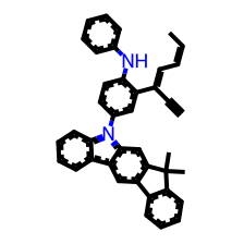 C#C/C(=C\C=C/C)c1cc(-n2c3ccccc3c3cc4c(cc32)C(C)(C)c2ccccc2-4)ccc1Nc1ccccc1